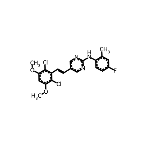 COc1cc(OC)c(Cl)c(/C=C/c2cnc(Nc3ccc(F)cc3C)nc2)c1Cl